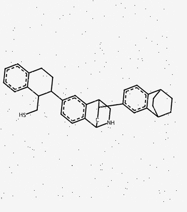 SCC1c2ccccc2CCC1c1ccc2c(c1)C1CNC2CC1c1ccc2c(c1)C1CCC2CC1